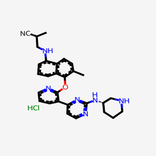 Cc1ccc2c(NCC(C)C#N)cccc2c1Oc1ncccc1-c1ccnc(N[C@H]2CCCNC2)n1.Cl